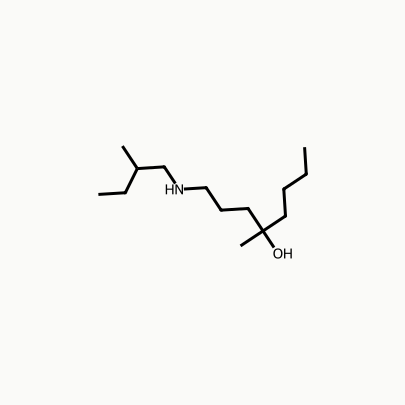 CCCCC(C)(O)CCCNCC(C)CC